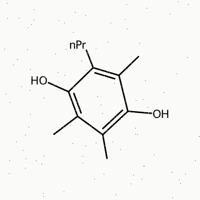 CCCc1c(C)c(O)c(C)c(C)c1O